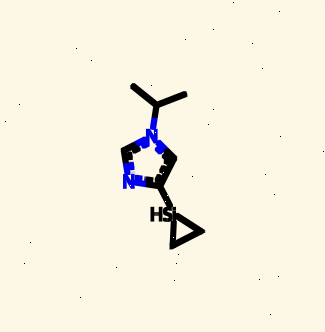 CC(C)n1cnc([SiH]2CC2)c1